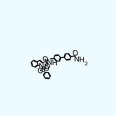 NC(=O)c1ccc(-c2ccc(CNS(=O)(=O)c3cc4ccccc4n3S(=O)(=O)c3ccccc3)cc2)cc1